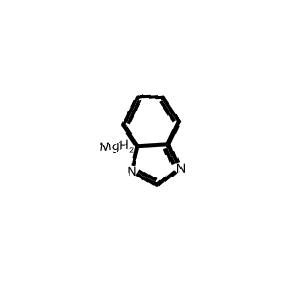 C1=CC2=NC=NC2C=C1.[MgH2]